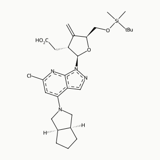 C=C1[C@@H](CC(=O)O)[C@H](n2ncc3c(N4C[C@H]5CCC[C@H]5C4)cc(Cl)nc32)O[C@@H]1CO[Si](C)(C)C(C)(C)C